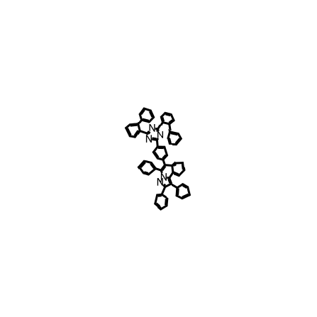 c1ccc(-c2ccccc2-c2nc(-c3ccc(-c4c(-c5ccccc5)n5nc(-c6ccccc6)c(-c6ccccc6)c5c5ccccc45)cc3)nc(-c3ccccc3-c3ccccc3)n2)cc1